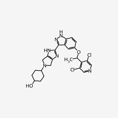 CC(Oc1ccc2[nH]nc(-c3nc4c([nH]3)CN(C3CCC(O)CC3)C4)c2c1)c1c(Cl)cncc1Cl